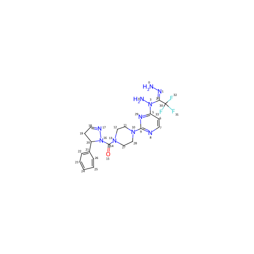 N/N=C(\N(N)c1ccnc(N2CCN(C(=O)N3N=CCC3c3ccccc3)CC2)n1)C(F)(F)F